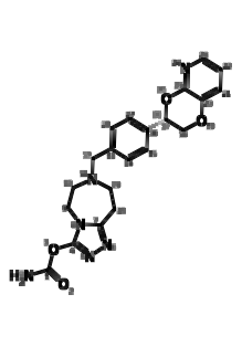 NC(=O)Oc1nnc2n1CCN(Cc1ccc([C@H]3COc4cccnc4O3)cc1)CC2